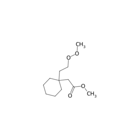 COOCCC1(CC(=O)OC)CCCCC1